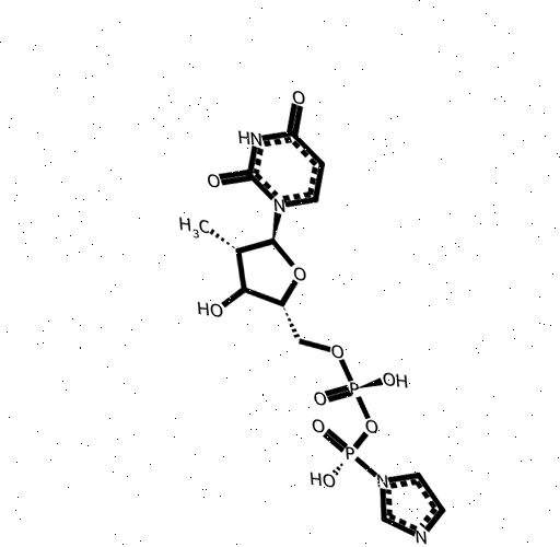 C[C@H]1C(O)[C@@H](CO[P@](=O)(O)O[P@@](=O)(O)n2ccnc2)O[C@@H]1n1ccc(=O)[nH]c1=O